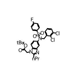 CCCc1nc2cc(N(Cc3cccc(Cl)c3Cl)S(=O)(=O)c3ccc(F)cc3)ccc2n1CC(=O)OC(C)(C)C